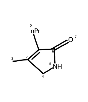 CCCC1=C(C)CNC1=O